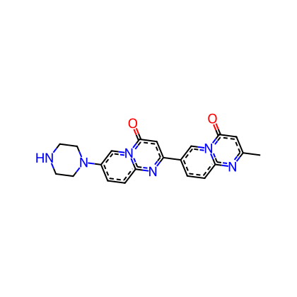 Cc1cc(=O)n2cc(-c3cc(=O)n4cc(N5CCNCC5)ccc4n3)ccc2n1